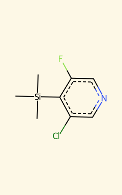 C[Si](C)(C)c1c(F)cncc1Cl